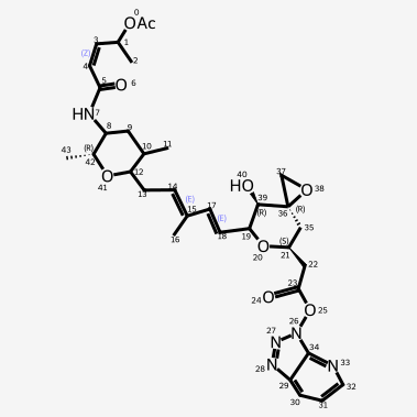 CC(=O)OC(C)/C=C\C(=O)NC1CC(C)C(C/C=C(C)/C=C/C2O[C@H](CC(=O)On3nnc4cccnc43)C[C@@]3(CO3)[C@@H]2O)O[C@@H]1C